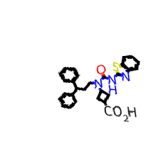 O=C(O)C1CC(N(CCC(c2ccccc2)c2ccccc2)C(=O)Nc2nc3ccccc3s2)C1